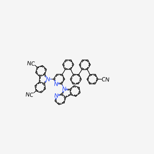 N#Cc1cccc(-c2ccccc2-c2ccccc2-c2ccccc2-c2cc(-n3c4ccc(C#N)cc4c4cc(C#N)ccc43)nc(-n3c4ccccc4c4cccnc43)c2)c1